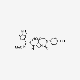 CON=C(C(=O)N[C@H]1CN(C(=O)N(CC(=O)O)c2ccc(O)cc2)C1=O)c1csc(N)n1